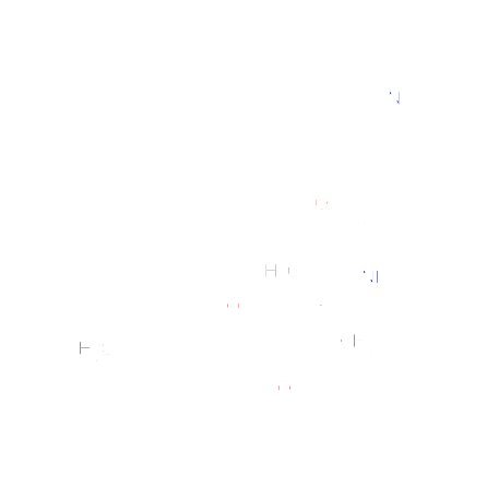 C=CCOC(=O)C(C)(C)NC(=O)CC#N